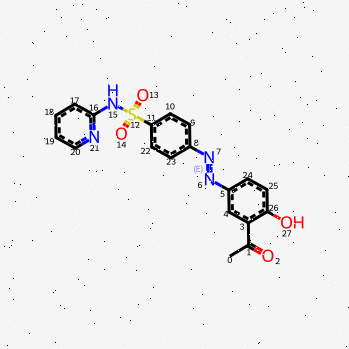 CC(=O)c1cc(/N=N/c2ccc(S(=O)(=O)Nc3ccccn3)cc2)ccc1O